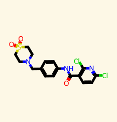 O=C(Nc1ccc(CN2CCS(=O)(=O)CC2)cc1)c1ccc(Cl)nc1Cl